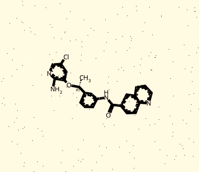 C[C@@H](Oc1cc(Cl)cnc1N)c1cccc(NC(=O)c2ccc3ncccc3c2)c1